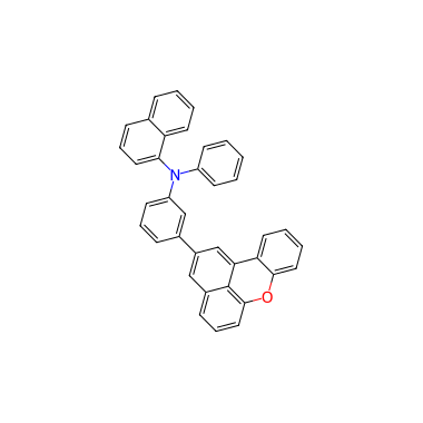 c1ccc(N(c2cccc(-c3cc4c5c(cccc5c3)Oc3ccccc3-4)c2)c2cccc3ccccc23)cc1